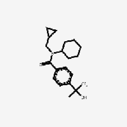 CC(O)(c1ccc(C(=O)N(CC2CC2)C2CCCCC2)cc1)C(F)(F)F